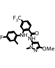 COc1cc(NC(=O)c2ccc(C(F)(F)F)cc2Nc2ccc(F)cc2C)n(C)n1